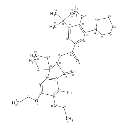 CCOc1cc2c(c(F)c1OCC)C(=N)N(CC(=O)c1cc(N3CCCCC3)c(OC)c(C(C)(C)C)c1)C2(CC)CC